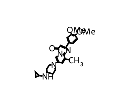 COc1ccc(-c2cc(=O)n3cc(N4CCC(NC5CC5)CC4)cc(C)c3n2)cc1OC